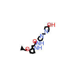 O=C(NC1CCN(CCN2CCC(O)CC2)CC1)c1cc2c(OCC3CC3)cccc2[nH]1